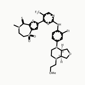 CCc1cc(N2CCN(CCOC)[C@@H]3COC[C@@H]32)ccc1Nc1ncc(C(F)(F)F)c(-c2cc3c(s2)C(=S)N(C)CCS3(=O)=O)n1